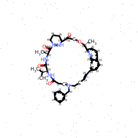 CC(C)[C@@H]1NC(=O)CCN(Cc2ccccc2)CC/C=C/c2ccc3ccc(nc3c2)[C@@H](C)OCC(=O)[C@@H]2CCCN(N2)C(=O)[C@H](C)NC1=O